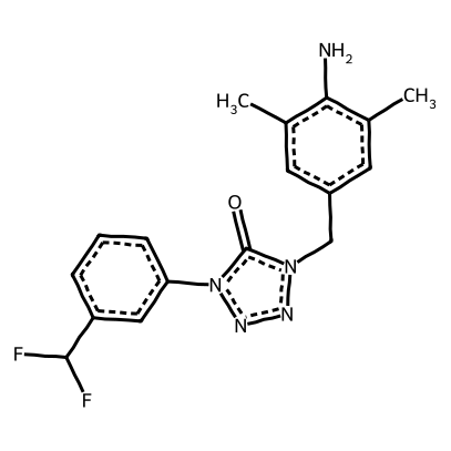 Cc1cc(Cn2nnn(-c3cccc(C(F)F)c3)c2=O)cc(C)c1N